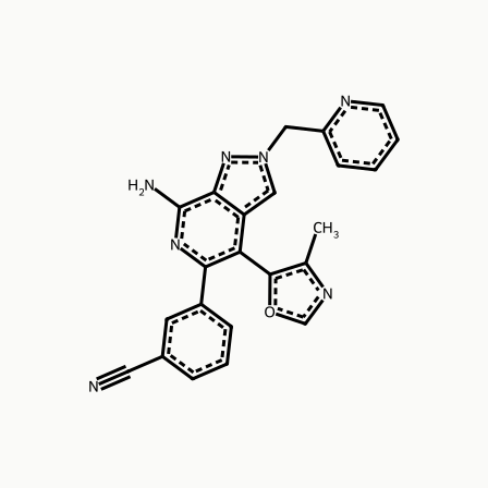 Cc1ncoc1-c1c(-c2cccc(C#N)c2)nc(N)c2nn(Cc3ccccn3)cc12